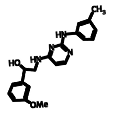 COc1cccc(C(O)CNc2ccnc(Nc3cccc(C)c3)n2)c1